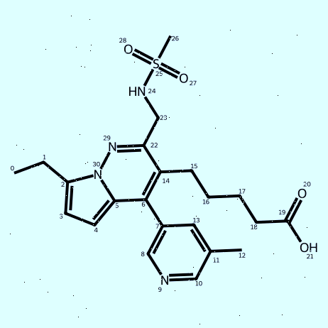 CCc1ccc2c(-c3cncc(C)c3)c(CCCCC(=O)O)c(CNS(C)(=O)=O)nn12